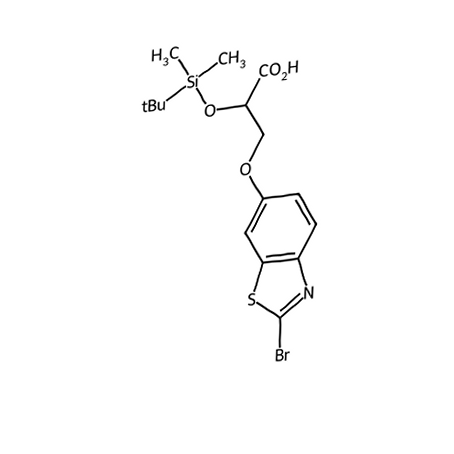 CC(C)(C)[Si](C)(C)OC(COc1ccc2nc(Br)sc2c1)C(=O)O